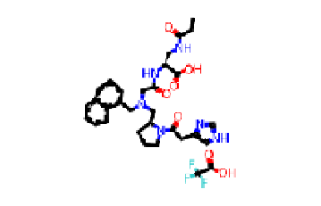 CCC(=O)NC[C@H](NC(=O)CN(Cc1cccc2ccccc12)CC1CCCN1C(=O)Cc1c[nH]cn1)C(=O)O.O=C(O)C(F)(F)F